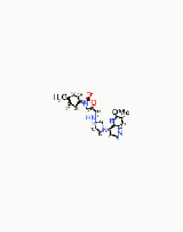 COc1ccc2nccc(N3CCC(NCC4CN(c5ccc(C)c(F)c5)C(=O)O4)C3)c2n1